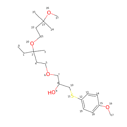 CCC(C)(CCOCC(O)CSc1ccc(OC)cc1)OCCC(C)(C)OC